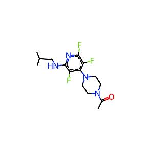 CC(=O)N1CCN(c2c(F)c(F)nc(NCC(C)C)c2F)CC1